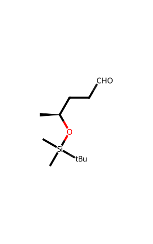 C[C@@H](CCC=O)O[Si](C)(C)C(C)(C)C